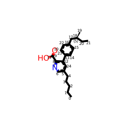 CCCCCc1cnc(C(=O)O)c(-c2ccc(C[C@@H](C)CC)cc2)c1